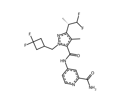 Cc1c([C@H](C)C(F)F)nn(CC2CC(F)(F)C2)c1C(=O)Nc1ccnc(C(N)=O)c1